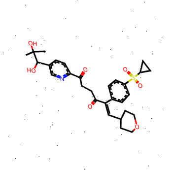 CC(C)(O)C(O)c1ccc(C(=O)CCC(=O)C(=CC2CCOCC2)c2ccc(S(=O)(=O)C3CC3)cc2)nc1